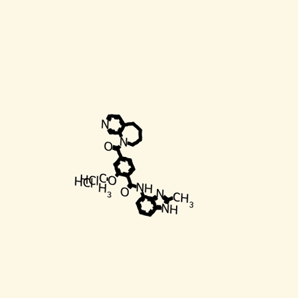 COc1cc(C(=O)N2CCCCc3ccncc32)ccc1C(=O)Nc1cccc2[nH]c(C)nc12.Cl.Cl